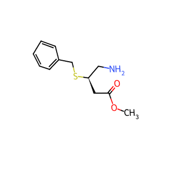 COC(=O)C[C@H](CN)SCc1ccccc1